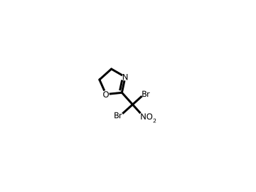 O=[N+]([O-])C(Br)(Br)C1=NCCO1